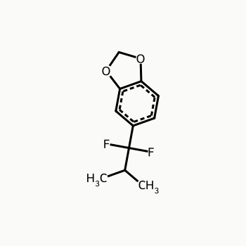 CC(C)C(F)(F)c1ccc2c(c1)OCO2